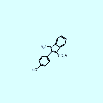 Cn1c(-c2ccc(O)cc2)c(C(=O)O)c2ccccc21